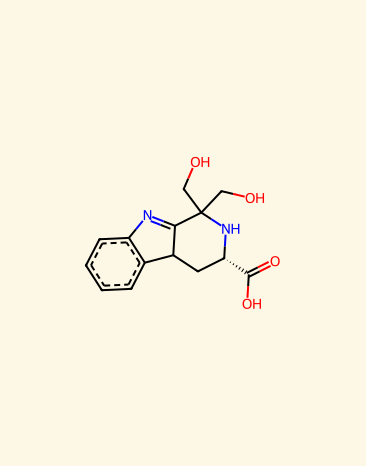 O=C(O)[C@@H]1CC2C(=Nc3ccccc32)C(CO)(CO)N1